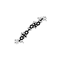 CC(C)(C)c1ccc(C(c2ccc(-c3nc4cc(C(c5ccc6oc(C(C)(C)C)nc6c5)(C(F)(F)F)C(F)(F)F)ccc4o3)cc2)(C(F)(F)F)C(F)(F)F)cc1